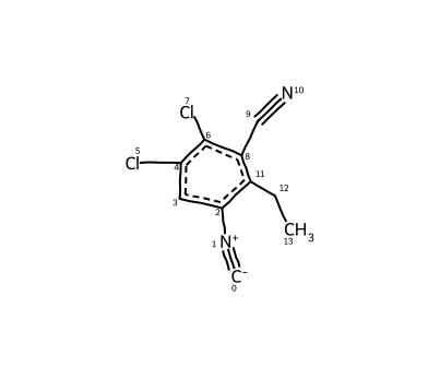 [C-]#[N+]c1cc(Cl)c(Cl)c(C#N)c1CC